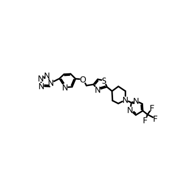 FC(F)(F)c1cnc(N2CCC(c3nc(COc4ccc(-n5cnnn5)nc4)cs3)CC2)nc1